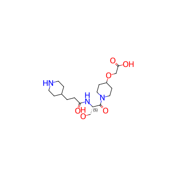 O=C(O)COC1CCN(C(=O)[C@H](CO)NC(=O)CCC2CCNCC2)CC1